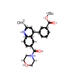 CC(C)(C)OC(=O)c1cccc(-c2cc(C=O)nc3ccc(C(=O)N4CCOCC4)cc23)c1